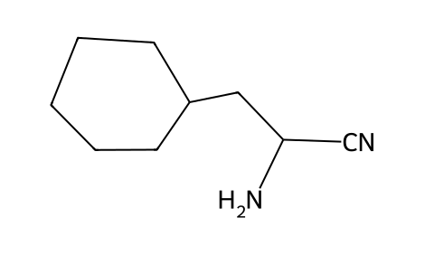 N#CC(N)CC1CCCCC1